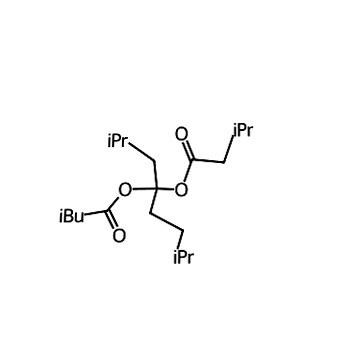 CCC(C)C(=O)OC(CCC(C)C)(CC(C)C)OC(=O)CC(C)C